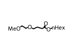 CCCCCCOC(=O)CCCOCCOC